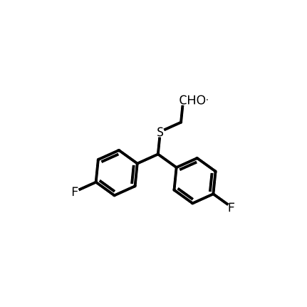 O=[C]CSC(c1ccc(F)cc1)c1ccc(F)cc1